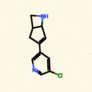 Clc1cncc(C2=CC3NCC3C2)c1